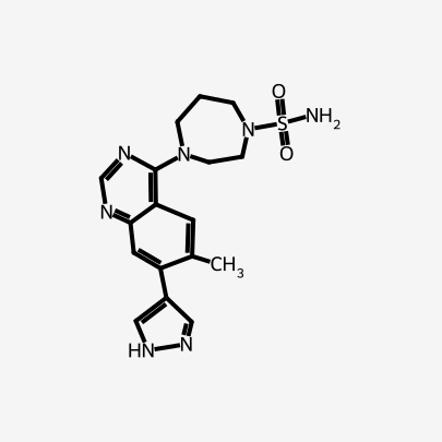 Cc1cc2c(N3CCCN(S(N)(=O)=O)CC3)ncnc2cc1-c1cn[nH]c1